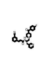 N#Cc1cccc(C=CC(=O)N[C@H](Cc2cccnc2)CN2CCC(C(=O)c3ccc(F)cc3)CC2)c1